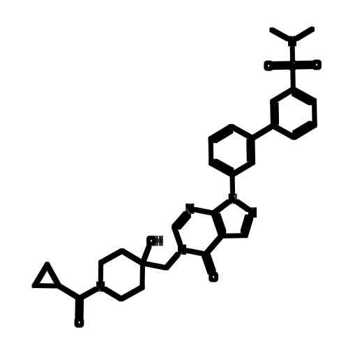 CN(C)S(=O)(=O)c1cccc(-c2cccc(-n3ncc4c(=O)n(CC5(O)CCN(C(=O)C6CC6)CC5)cnc43)c2)c1